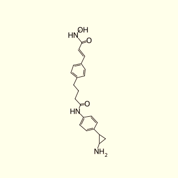 NC1CC1c1ccc(NC(=O)CCCc2ccc(/C=C/C(=O)NO)cc2)cc1